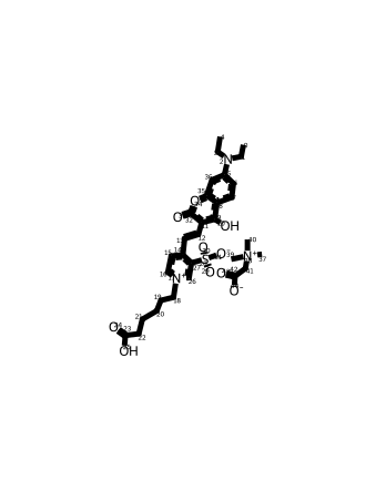 CCN(CC)c1ccc2c(O)c(/C=C/c3cc[n+](CCCCCC(=O)O)cc3S(=O)(=O)[O-])c(=O)oc2c1.C[N+](C)(C)CC(=O)[O-]